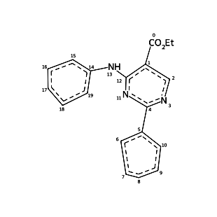 CCOC(=O)c1cnc(-c2ccccc2)nc1Nc1ccccc1